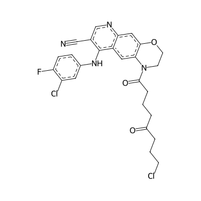 N#Cc1cnc2cc3c(cc2c1Nc1ccc(F)c(Cl)c1)N(C(=O)CCCC(=O)CCCCl)CCO3